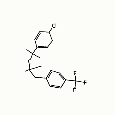 CC(C)(Cc1ccc(C(F)(F)F)cc1)CC(C)(C)C1=CCC(Cl)C=C1